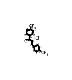 Cl.O=C(/C=C/c1ccc(C(F)(F)F)cc1)c1ccc(C(F)(F)F)cc1